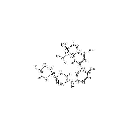 CC(C)n1c(=O)ccc2c(F)cc(-c3nc(Nc4ccc(C5CCN(C)CC5)nn4)ncc3F)cc21